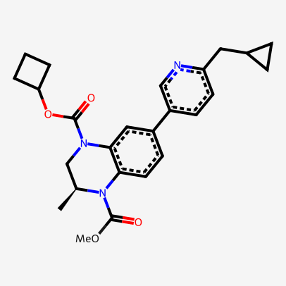 COC(=O)N1c2ccc(-c3ccc(CC4CC4)nc3)cc2N(C(=O)OC2CCC2)C[C@@H]1C